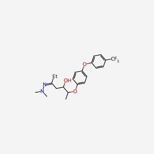 CC/C(CC(O)C(C)Oc1ccc(Oc2ccc(C(F)(F)F)cc2)cc1)=N/N(C)C